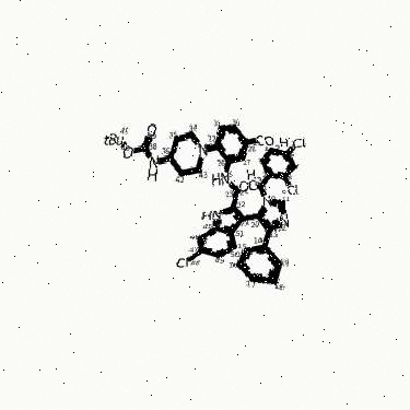 C[C@@H](c1ccc(Cl)cc1Cl)n1cnc(-c2ccccc2)c1-c1c(C(=O)Nc2cc(C(=O)O)ccc2N2CCC(NC(=O)OC(C)(C)C)CC2)[nH]c2cc(Cl)ccc12